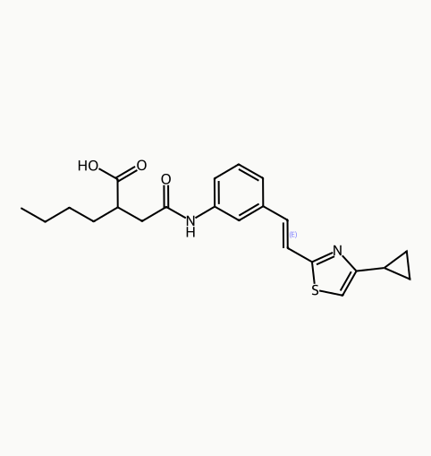 CCCCC(CC(=O)Nc1cccc(/C=C/c2nc(C3CC3)cs2)c1)C(=O)O